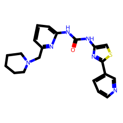 O=C(Nc1cccc(CN2CCCCC2)n1)Nc1csc(-c2cccnc2)n1